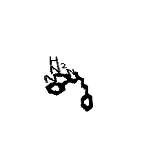 Nc1nc2ccccc2c2cc(CCCc3ccccc3)cnc12